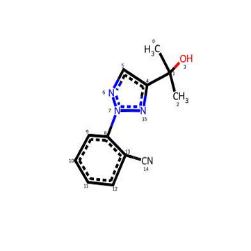 CC(C)(O)c1cnn(-c2ccccc2C#N)n1